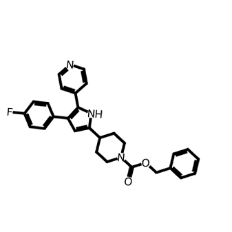 O=C(OCc1ccccc1)N1CCC(c2cc(-c3ccc(F)cc3)c(-c3ccncc3)[nH]2)CC1